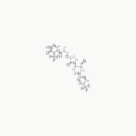 CC(COC1CCN(C2CCN(c3ncc(C(F)(F)F)cn3)CC2C#N)C1=O)Nc1cn[nH]c(=O)c1C(F)(F)F